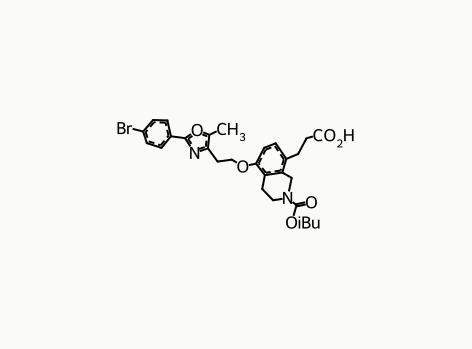 Cc1oc(-c2ccc(Br)cc2)nc1CCOc1ccc(CCC(=O)O)c2c1CCN(C(=O)OCC(C)C)C2